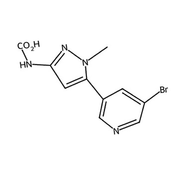 Cn1nc(NC(=O)O)cc1-c1cncc(Br)c1